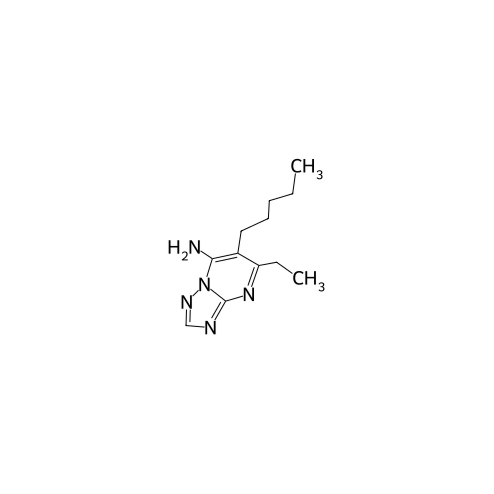 CCCCCc1c(CC)nc2ncnn2c1N